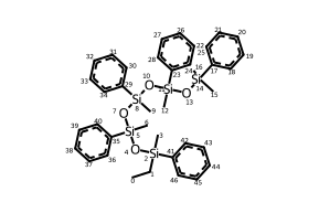 CC[Si](C)(O[Si](C)(O[Si](C)(O[Si](C)(O[Si](C)(C)c1ccccc1)c1ccccc1)c1ccccc1)c1ccccc1)c1ccccc1